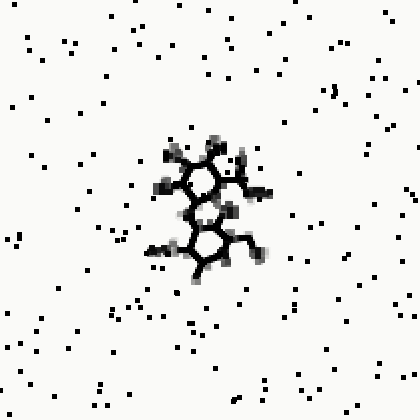 COC(=O)C1OC(OC2C(O)C(CO)OC(C)C2NC(C)=O)C(O)C(O)C1O